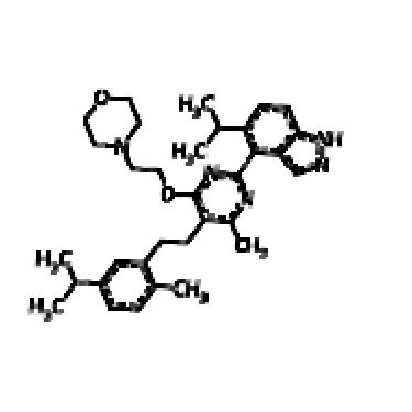 Cc1ccc(C(C)C)cc1CCc1c(C)nc(-c2c(C(C)C)ccc3[nH]ncc23)nc1OCCN1CCOCC1